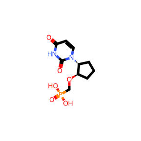 O=c1ccn([C@@H]2CCC[C@H]2OCP(=O)(O)O)c(=O)[nH]1